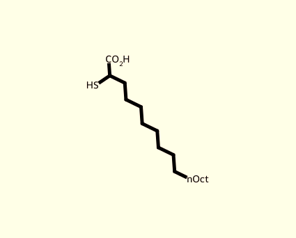 CCCCCCCCCCCCCCCCC(S)C(=O)O